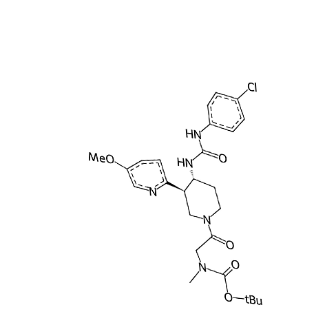 COc1ccc([C@@H]2CN(C(=O)CN(C)C(=O)OC(C)(C)C)CC[C@H]2NC(=O)Nc2ccc(Cl)cc2)nc1